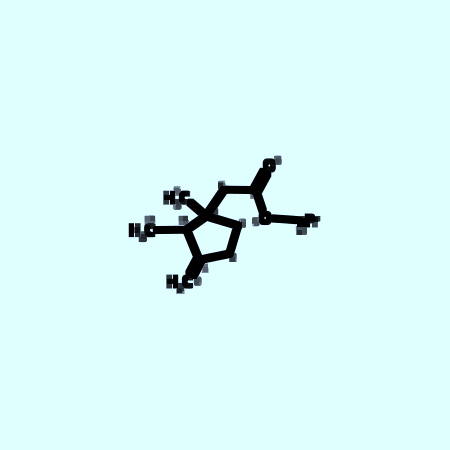 C=C1CCC(C)(CC(=O)OCCC)C1C